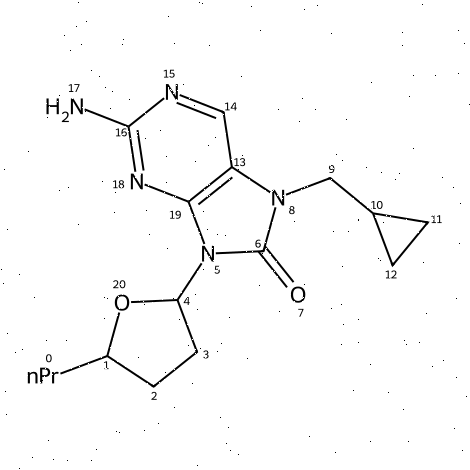 CCCC1CCC(n2c(=O)n(CC3CC3)c3cnc(N)nc32)O1